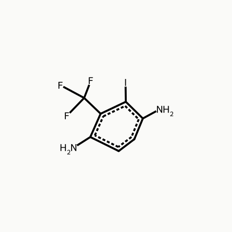 Nc1ccc(N)c(C(F)(F)F)c1I